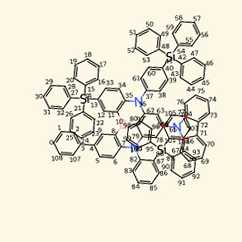 c1ccc(-c2ccc3c(c2)B2c4cc([Si](c5ccccc5)(c5ccccc5)c5ccccc5)ccc4N(c4ccc([Si](c5ccccc5)(c5ccccc5)c5ccccc5)cc4)c4cc(-n5c6ccccc6c6ccccc65)cc(c42)N3c2ccccc2[Si](c2ccccc2)(c2ccccc2)c2ccccc2)cc1